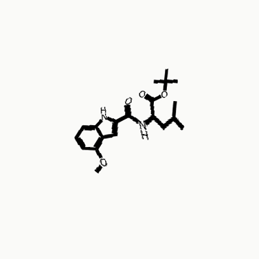 COc1cccc2[nH]c(C(=O)NC(CC(C)C)C(=O)OC(C)(C)C)cc12